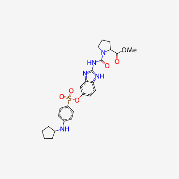 COC(=O)C1CCCN1C(=O)Nc1nc2cc(OS(=O)(=O)c3ccc(NC4CCCC4)cc3)ccc2[nH]1